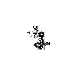 NC(=O)N(CCO)c1cccc(-c2ccc([C@@]3(CC(=O)NO)CCCCS3(=O)=O)s2)c1